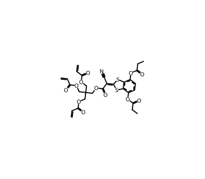 C=CC(=O)OCC(COC(=O)C=C)(COC(=O)C=C)COC(=O)C(C#N)=C1Sc2c(OC(=O)CC)ccc(OC(=O)CC)c2S1